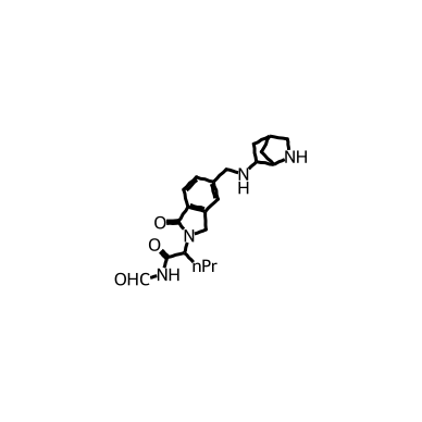 CCCC(C(=O)NC=O)N1Cc2cc(CNC3CC4CNC3C4)ccc2C1=O